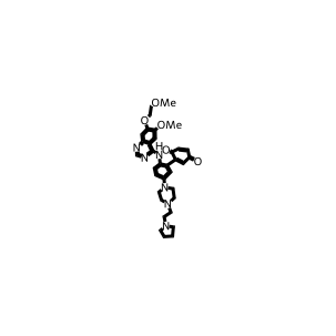 COCCOc1cc2ncnc(Nc3ccc(N4CCN(CCN5CCCC5)CC4)cc3C3=CC(=O)C=CC3=O)c2cc1OC